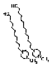 CN1CCN(CCCCCCCCCCCCO)CC1.CN1CCN(CCCCCCCCCCO)CC1